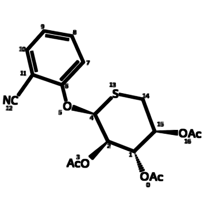 CC(=O)O[C@@H]1[C@@H](OC(C)=O)[C@@H](Oc2ccccc2C#N)SC[C@H]1OC(C)=O